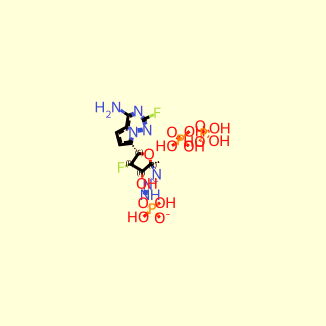 C[C@@]1(N=[N+]=N)O[C@@H](c2ccc3c(N)nc(F)nn23)[C@H](F)[C@@H]1O.O=P(O)(O)O.O=P(O)(O)O.O=P([O-])(O)O